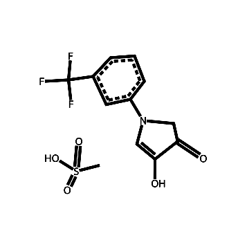 CS(=O)(=O)O.O=C1CN(c2cccc(C(F)(F)F)c2)C=C1O